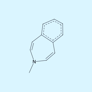 CN1C=Cc2ccccc2C=C1